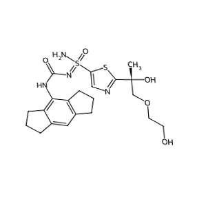 C[C@@](O)(COCCO)c1ncc(S(N)(=O)=NC(=O)Nc2c3c(cc4c2CCC4)CCC3)s1